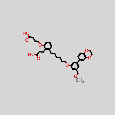 COCc1cc(OCCCCCCc2cccc(OCCCC(=O)O)c2CCC(=O)O)cc(-c2ccc3c(c2)OCCO3)c1